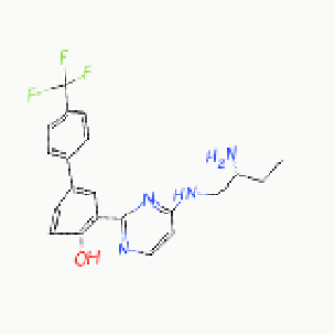 CC[C@@H](N)CNc1ccnc(-c2cc(-c3ccc(C(F)(F)F)cc3)ccc2O)n1